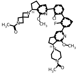 COc1nc(-c2cccc(-c3cccc(-c4cc5c(c(OC)n4)[C@@H](N4CC6(CN(C(C)=O)C6)C4)CC5)c3Cl)c2F)cc2c1[C@@H](N1CCN(C(C)=O)CC1)CC2